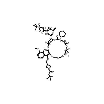 C=C[C@@H]1C[C@]1(NC(=O)[C@@H]1C[C@@H]2CN1C(=O)[C@H](C1CCCCC1)NC(=O)O[C@@H]1C[C@H]1CCCCCc1c(nc3c(OC)cccc3c1OCC1CN(C(=O)OC(C)(C)C)C1)O2)C(=O)NS(=O)(=O)C1(C)CC1